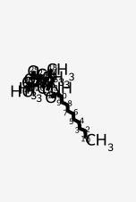 CCCCCCCCCCCC(=O)NC(C)(CCC)[N+](C)(C)C(C)(CC(=O)O)C(=O)[O-]